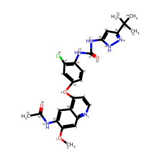 COc1cc2nccc(Oc3ccc(NC(=O)Nc4cc(C(C)(C)C)n[nH]4)c(Cl)c3)c2cc1NC(C)=O